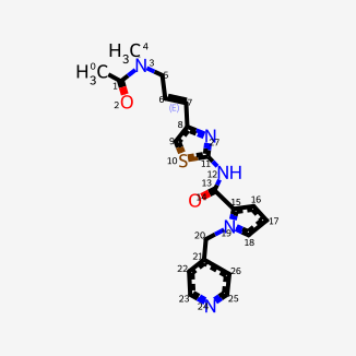 CC(=O)N(C)C/C=C/c1csc(NC(=O)c2cccn2Cc2ccncc2)n1